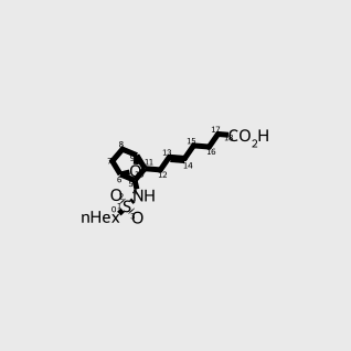 CCCCCCS(=O)(=O)NC1C2CCC(O2)C1CC=CCCCC(=O)O